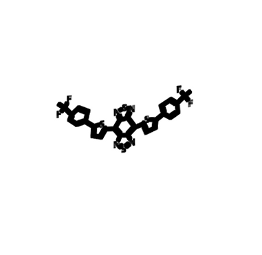 CC(F)(F)c1ccc(-c2ccc(-c3c4c(c(-c5ccc(-c6ccc(C(C)(F)F)cc6)s5)c5nsnc35)N=S=N4)s2)cc1